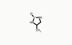 CC1CN[S+]([O-])N1